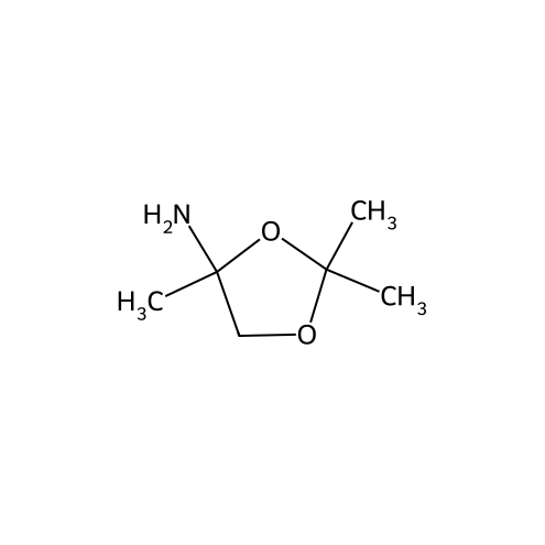 CC1(N)COC(C)(C)O1